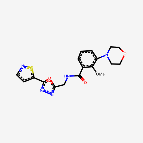 COc1c(C(=O)NCc2nnc(-c3ccns3)o2)cccc1N1CCOCC1